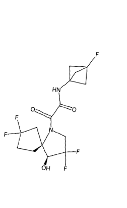 O=C(NC12CC(F)(C1)C2)C(=O)N1CC(F)(F)[C@@H](O)[C@@]12CCC(F)(F)C2